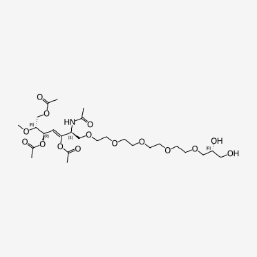 CO[C@H](COC(C)=O)[C@@H](C=C(OC(C)=O)[C@H](COCCOCCOCCOCCOC[C@H](O)CO)NC(C)=O)OC(C)=O